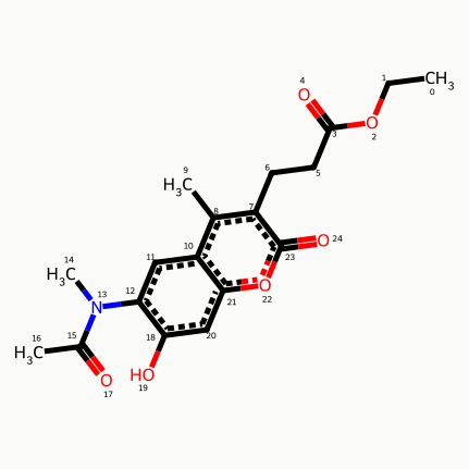 CCOC(=O)CCc1c(C)c2cc(N(C)C(C)=O)c(O)cc2oc1=O